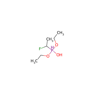 CCO[PH](O)(OCC)C(C)F